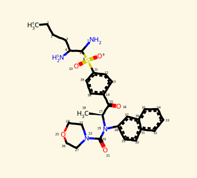 CCCCC(N)C(N)S(=O)(=O)c1ccc(C(=O)[C@H](C)N(C(=O)N2CCOCC2)c2ccc3ccccc3c2)cc1